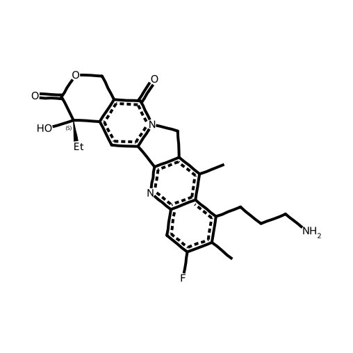 CC[C@@]1(O)C(=O)OCc2c1cc1n(c2=O)Cc2c-1nc1cc(F)c(C)c(CCCN)c1c2C